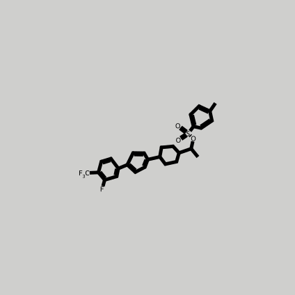 Cc1ccc(S(=O)(=O)OC(C)C2CCC(c3ccc(-c4ccc(C(F)(F)F)c(F)c4)cc3)CC2)cc1